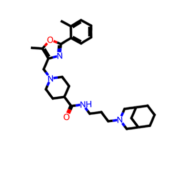 Cc1ccccc1-c1nc(CN2CCC(C(=O)NCCCN3CC4CCCC(C4)C3)CC2)c(C)o1